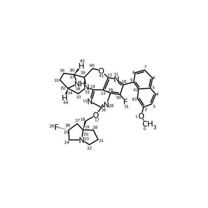 COc1ccc2cccc(-c3nc4c5c(nc(OC[C@@]67CCCN6C[C@H](F)C7)nc5c3F)N3C[C@@H]5CC[C@@H](N5)C3CO4)c2c1